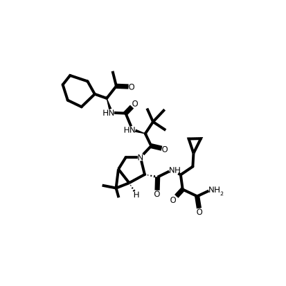 CC(=O)[C@@H](NC(=O)N[C@H](C(=O)N1CC2[C@@H]([C@H]1C(=O)NC(CC1CC1)C(=O)C(N)=O)C2(C)C)C(C)(C)C)C1CCCCC1